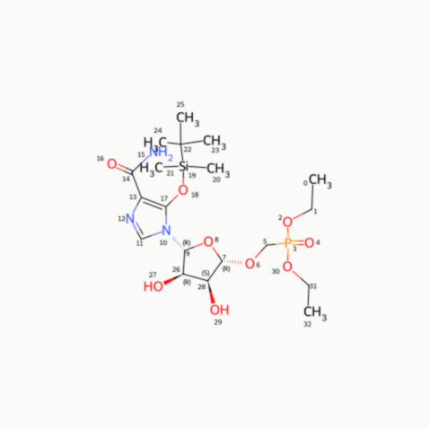 CCOP(=O)(CO[C@H]1O[C@@H](n2cnc(C(N)=O)c2O[Si](C)(C)C(C)(C)C)[C@H](O)[C@@H]1O)OCC